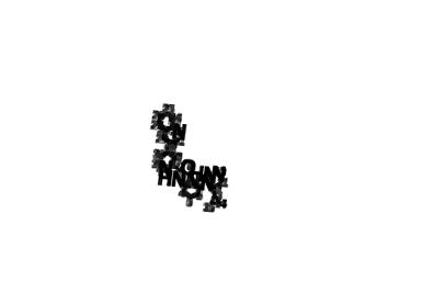 O=C(Nc1cccc(N2NN=CC2C2CC2)n1)c1cc(-c2cnc3ccccc3c2)ccn1